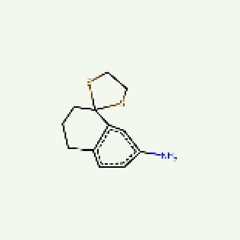 Nc1ccc2c(c1)C1(CCC2)SCCS1